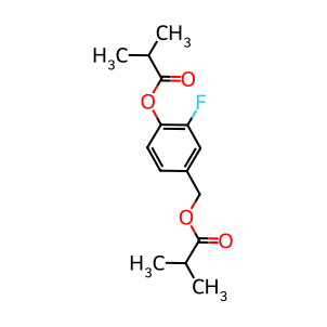 CC(C)C(=O)OCc1ccc(OC(=O)C(C)C)c(F)c1